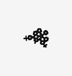 Cc1cc2c3c(c1)N(c1ccc(C(C)(C)C)cc1)c1c(-c4ccccc4)c(-c4ccccc4)n(-c4ccccc4)c1B3c1ccccc1N2c1ccc(C(C)(C)C)cc1